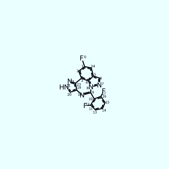 Fc1cc2c3c(cnn3C(c3c(F)cccc3F)=Nc3c[nH]nc3-2)c1